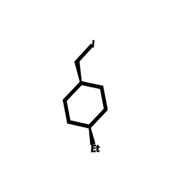 CC[C@H]1CC[C@@H](CI)CC1